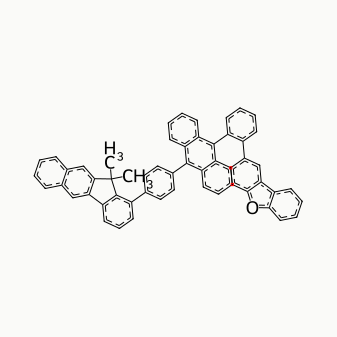 CC1(C)c2cc3ccccc3cc2-c2cccc(-c3ccc(-c4c5ccccc5c(-c5ccccc5-c5ccc6oc7ccccc7c6c5)c5ccccc45)cc3)c21